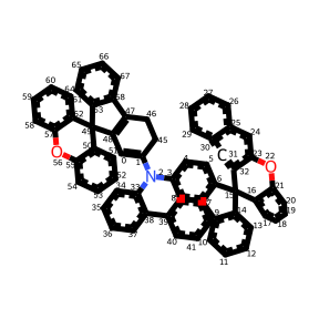 C1=C(N(c2ccc3c(c2)-c2ccccc2C32c3ccccc3Oc3cc4ccccc4cc32)c2ccccc2-c2ccccc2)CCC2=C1C1(c3ccccc3Oc3ccccc31)c1ccccc12